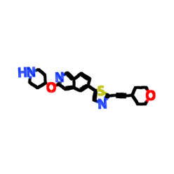 C(#CC1CCOCC1)c1ncc(-c2ccc3cnc(OC4CCNCC4)cc3c2)s1